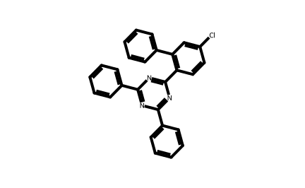 Clc1ccc(-c2nc(-c3ccccc3)nc(-c3ccccc3)n2)c(-c2ccccc2)c1